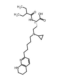 CCC(CC)C(=O)N[C@@H](CCN(CCCCCc1ccc2c(n1)NCCC2)C1CC1)C(=O)O